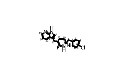 NC1(Cc2ccc(Cl)cc2)C=CC(Cc2c[nH]c3ncccc23)=C(F)N1